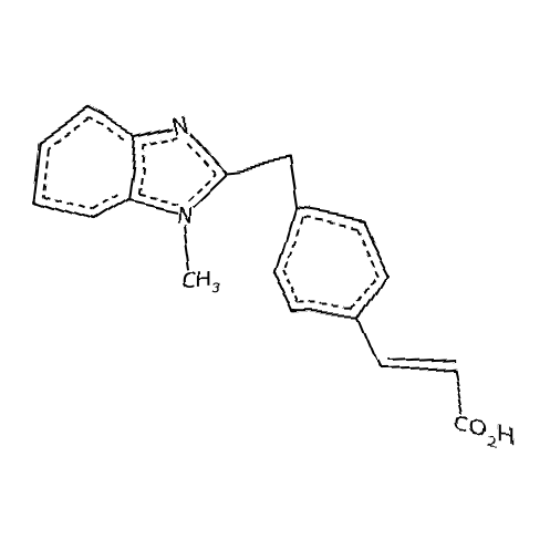 Cn1c(Cc2ccc(/C=C/C(=O)O)cc2)nc2ccccc21